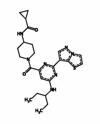 CCC(CC)Nc1cc(C(=O)N2CCC(NC(=O)C3CC3)CC2)nc(-c2cnn3ccsc23)n1